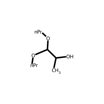 CCCOC(OCCC)C(C)O